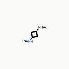 CCN[C@H]1C[C@@H](NC(C)=O)C1